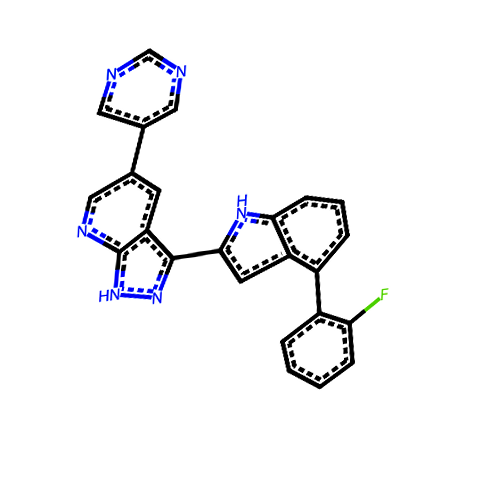 Fc1ccccc1-c1cccc2[nH]c(-c3n[nH]c4ncc(-c5cncnc5)cc34)cc12